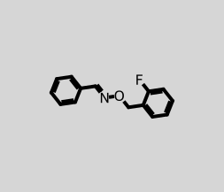 Fc1ccccc1CON=Cc1ccccc1